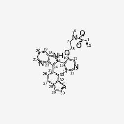 C=CS(=O)(=O)N(C)CCOc1cnccc1-c1[nH]c2cccnc2c1-c1ccc2ccsc2c1